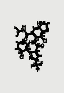 CC(C)NC(=O)c1cc2[nH]cnc2c(Cl)c1NC(=O)c1cc(C(F)(F)F)nn1-c1ncccc1Cl